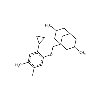 Cc1cc(C2CC2)c(OCC23CC(C)CC(CC(C)C2)C3)cc1F